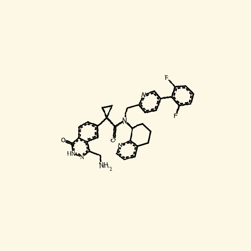 NCc1n[nH]c(=O)c2ccc(C3(C(=O)N(Cc4ccc(-c5c(F)cccc5F)cn4)C4CCCc5cccnc54)CC3)cc12